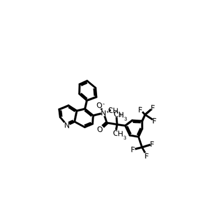 CC(C)(C(=O)[N+](C)([O-])c1ccc2ncccc2c1-c1ccccc1)c1cc(C(F)(F)F)cc(C(F)(F)F)c1